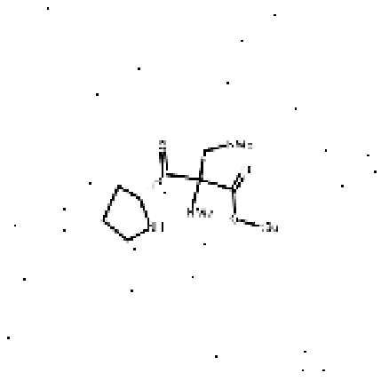 CNCC(NC)(C(=O)OC(C)(C)C)C(=O)[C@H]1CCCN1